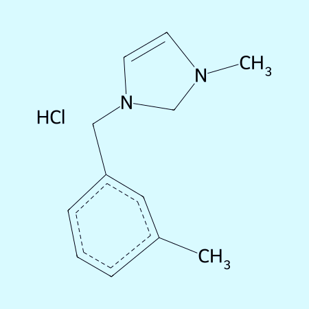 Cc1cccc(CN2C=CN(C)C2)c1.Cl